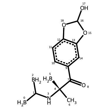 BC(B)N[C@@](B)(C)C(=O)c1ccc2c(c1)OC(O)O2